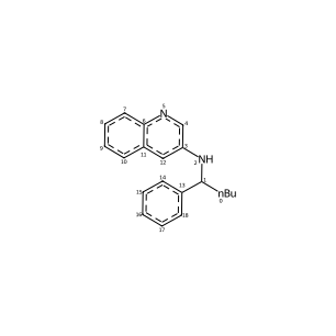 CCCCC(Nc1cnc2ccccc2c1)c1ccccc1